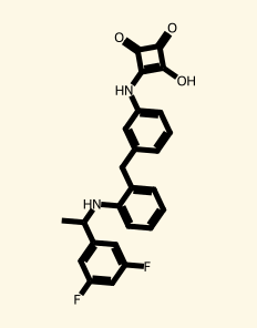 CC(Nc1ccccc1Cc1cccc(Nc2c(O)c(=O)c2=O)c1)c1cc(F)cc(F)c1